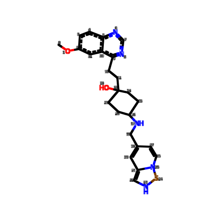 COc1ccc2ncnc(CCC3(O)CCC(NCC4=CC5=CNSN5C=C4)CC3)c2c1